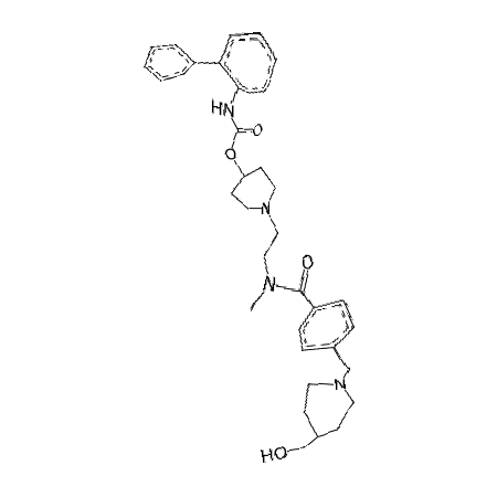 CN(CCN1CCC(OC(=O)Nc2ccccc2-c2ccccc2)CC1)C(=O)c1ccc(CN2CCC(CO)CC2)cc1